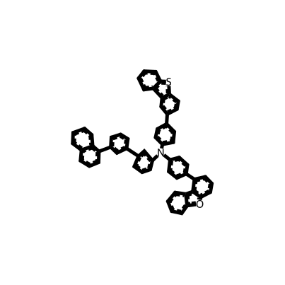 c1cc(-c2cccc(N(c3ccc(-c4ccc5sc6ccccc6c5c4)cc3)c3ccc(-c4cccc5oc6ccccc6c45)cc3)c2)cc(-c2cccc3ccccc23)c1